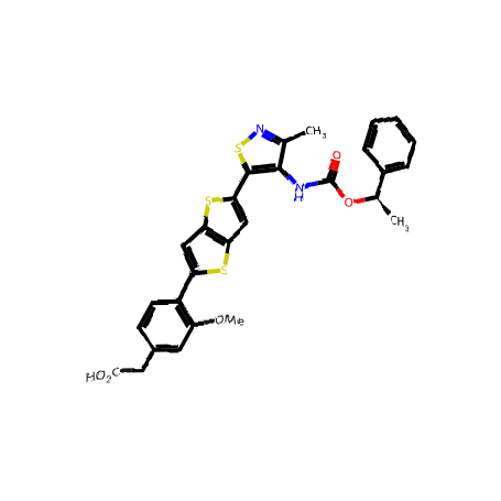 COc1cc(CC(=O)O)ccc1-c1cc2sc(-c3snc(C)c3NC(=O)O[C@H](C)c3ccccc3)cc2s1